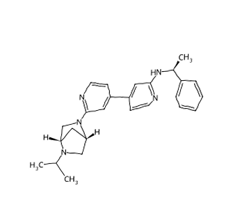 CC(C)N1C[C@@H]2C[C@H]1CN2c1cc(-c2ccnc(N[C@@H](C)c3ccccc3)c2)ccn1